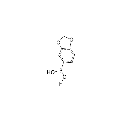 OB(OF)c1ccc2c(c1)OCO2